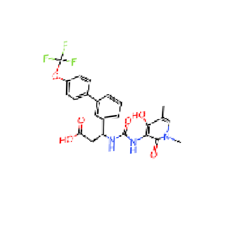 Cc1cn(C)c(=O)c(NC(=O)N[C@@H](CC(=O)O)c2cccc(-c3ccc(OC(F)(F)F)cc3)c2)c1O